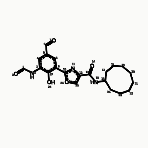 O=CNc1cc(C=O)cc(-c2nc(C(=O)NC3CCCCCCCC3)co2)c1O